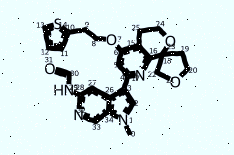 Cn1cc(-c2cc(OCCc3cccs3)c3c(n2)C2(CCOC2)OCC3)c2cc(NC=O)ncc21